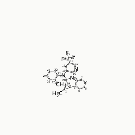 C=C1C2c3ccccc3N3c4ncc(C(F)(F)F)cc4N(c4ccccc4C)C3C12